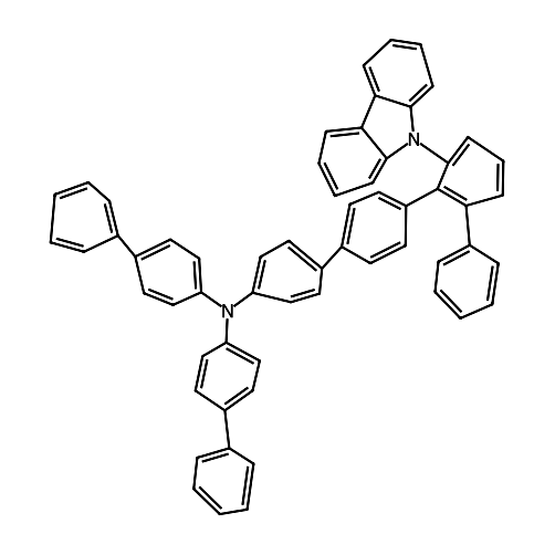 c1ccc(-c2ccc(N(c3ccc(-c4ccccc4)cc3)c3ccc(-c4ccc(-c5c(-c6ccccc6)cccc5-n5c6ccccc6c6ccccc65)cc4)cc3)cc2)cc1